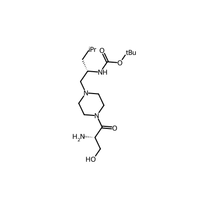 CC(C)C[C@@H](CN1CCN(C(=O)[C@@H](N)CO)CC1)NC(=O)OC(C)(C)C